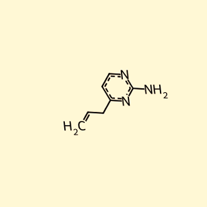 C=CCc1ccnc(N)n1